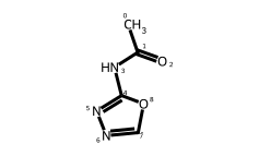 CC(=O)Nc1nn[c]o1